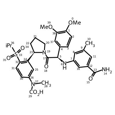 COc1ccc([C@@H](Nc2cc(C)cc(C(N)=O)c2)C(=O)N2CCC[C@@H]2c2cc(N(C)C(=O)O)ccc2S(=O)(=O)C(C)C)cc1OC